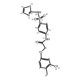 O=C(COc1ccc(F)c(C(F)(F)F)c1)Nc1ccc(S(=O)(=O)Nc2nccs2)cc1